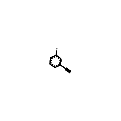 C#Cc1cccc(Cl)n1